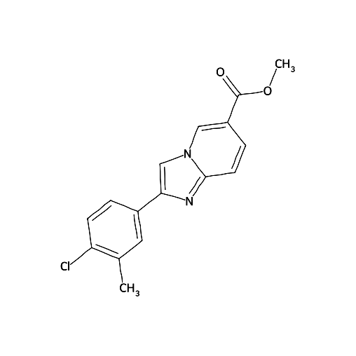 COC(=O)c1ccc2nc(-c3ccc(Cl)c(C)c3)cn2c1